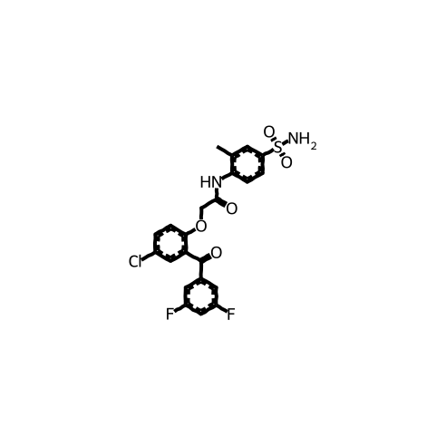 Cc1cc(S(N)(=O)=O)ccc1NC(=O)COc1ccc(Cl)cc1C(=O)c1cc(F)cc(F)c1